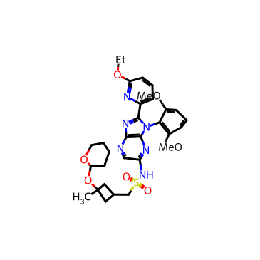 CCOc1cccc(-c2nc3ncc(NS(=O)(=O)CC4CC(C)(OC5CCCCO5)C4)nc3n2-c2c(OC)cccc2OC)n1